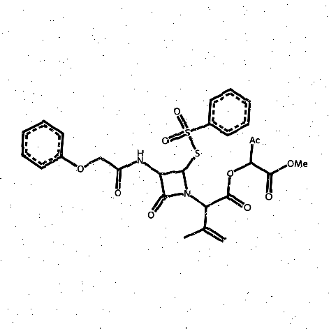 C=C(C)C(C(=O)OC(C(C)=O)C(=O)OC)N1C(=O)C(NC(=O)COc2ccccc2)C1SS(=O)(=O)c1ccccc1